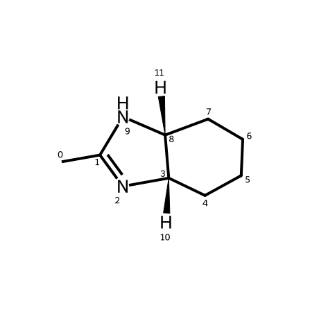 CC1=N[C@H]2CCCC[C@H]2N1